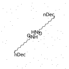 CCCCCCCCCC/C=C\CCCCCCCCCC(=O)NCCNC(=O)CCCCCCCCC/C=C\CCCCCCCCCC